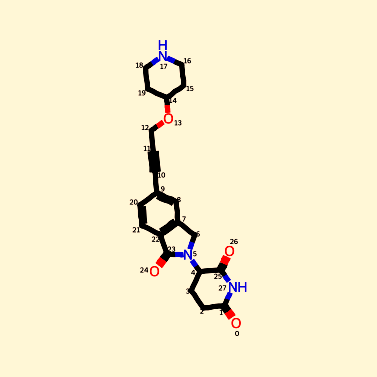 O=C1CCC(N2Cc3cc(C#CCOC4CCNCC4)ccc3C2=O)C(=O)N1